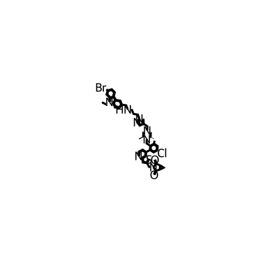 CCn1c2ccc(CNCCCn3cc(CN4C[C@H](C)N(Cc5c(C)cc(Cl)cc5-c5ccnc6cc(CN7C(=O)C8CC8C7=O)sc56)[C@@H](C)C4)cn3)cc2c2ccc(Br)cc21